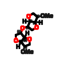 CO[C@H]1CO[C@H]2[C@@H]1OC[C@H]2O[C@@H]1CO[C@H]2[C@@H]1OC[C@@H]2OC